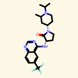 CC(C)N1CC[C@H](N2CC[C@H](Nc3ncnc4ccc(C(F)(F)F)cc34)C2=O)CC1C